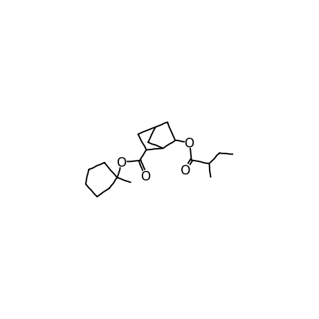 CCC(C)C(=O)OC1CC2CC(C(=O)OC3(C)CCCCC3)C1C2